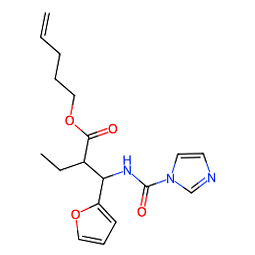 C=CCCCOC(=O)C(CC)C(NC(=O)n1ccnc1)c1ccco1